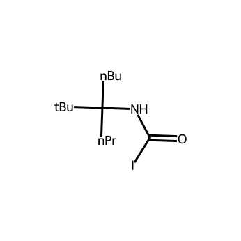 CCCCC(CCC)(NC(=O)I)C(C)(C)C